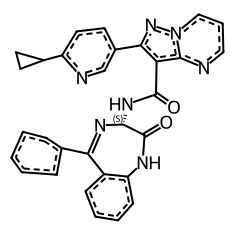 O=C(N[C@H]1N=C(c2ccccc2)c2ccccc2NC1=O)c1c(-c2ccc(C3CC3)nc2)nn2cccnc12